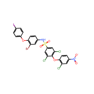 O=[N+]([O-])c1ccc(Oc2c(Cl)cc(S(=O)(=O)Nc3ccc(Oc4ccc(I)cc4)c(Br)c3)cc2Cl)c(Cl)c1